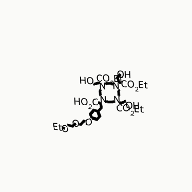 CCOCCOCCOc1ccc(CC(C(=O)O)N2CCN(C(CO)C(=O)OCC)CCN(C(CO)C(=O)OCC)CCN(C(CO)C(=O)OCC)CC2)cc1